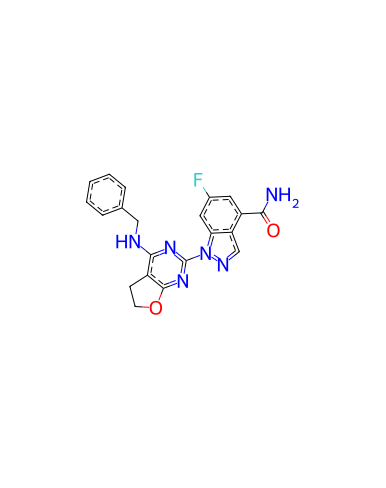 NC(=O)c1cc(F)cc2c1cnn2-c1nc(NCc2ccccc2)c2c(n1)OCC2